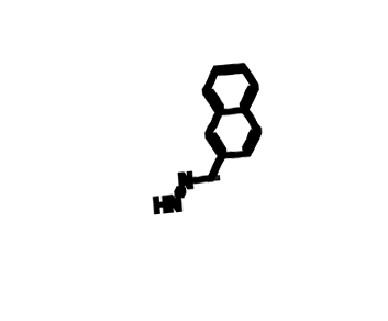 N=N[CH]c1ccc2ccccc2c1